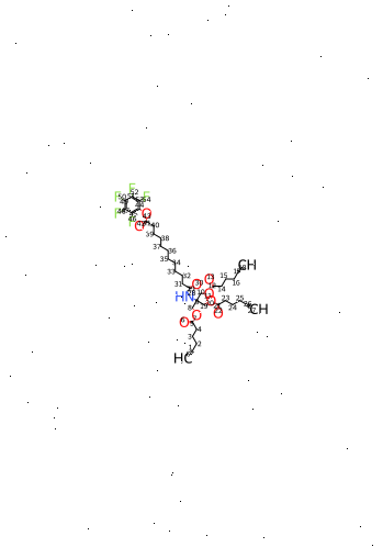 C#CCCCC(=O)OCC(COC(=O)CCCC#C)(COC(=O)CCCC#C)NC(=O)CCCCCCCCCCC(=O)Oc1c(F)c(F)c(F)c(F)c1F